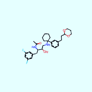 CC(=O)NC(Cc1cc(F)cc(F)c1)C(O)CNC1(c2cccc(CCC3OCCCO3)c2)CCCCC1